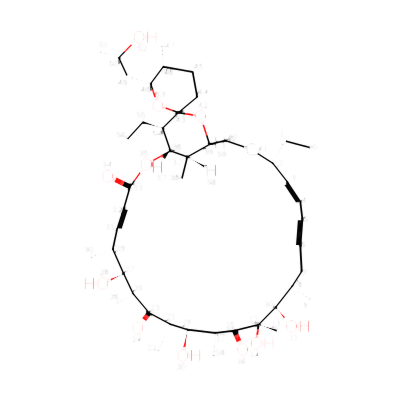 CC[C@@H]1/C=C/C=C/C[C@H](C)[C@@H](O)[C@](C)(O)C(=O)[C@H](C)[C@@H](O)[C@H](C)C(=O)[C@H](C)[C@@H](O)[C@H](C)/C=C/C(=O)O[C@H]2[C@@H](C)[C@@H](CC1)OC1(CC[C@@H](C)[C@@H](C[C@H](C)O)O1)[C@@H]2CC